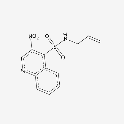 C=CCNS(=O)(=O)c1c([N+](=O)[O-])cnc2ccccc12